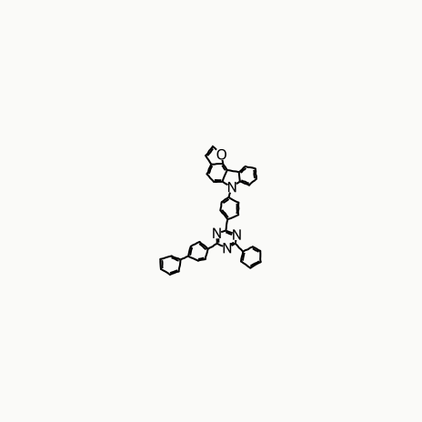 c1ccc(-c2ccc(-c3nc(-c4ccccc4)nc(-c4ccc(-n5c6ccccc6c6c7occc7ccc65)cc4)n3)cc2)cc1